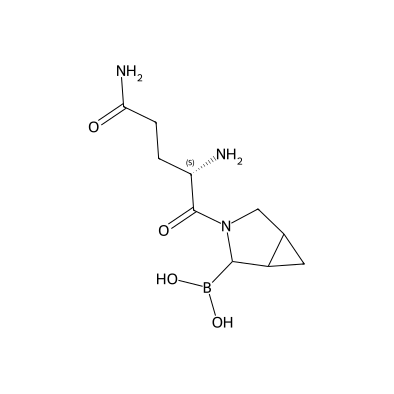 NC(=O)CC[C@H](N)C(=O)N1CC2CC2C1B(O)O